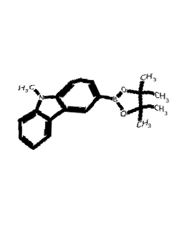 Cn1c2ccccc2c2cc(B3OC(C)(C)C(C)(C)O3)ccc21